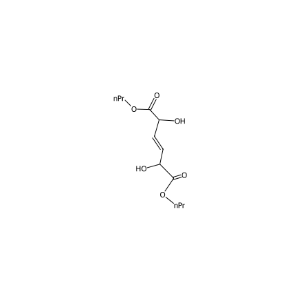 CCCOC(=O)C(O)C=CC(O)C(=O)OCCC